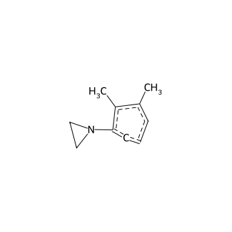 Cc1cccc(N2CC2)c1C